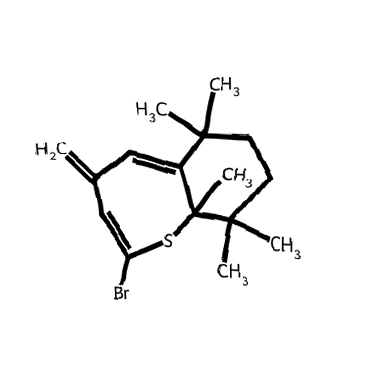 C=C1C=C(Br)SC2(C)C(=C1)C(C)(C)CCC2(C)C